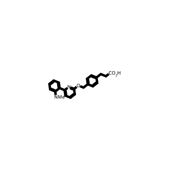 CNc1ccccc1-c1cccc(OCc2ccc(CCC(=O)O)cc2)n1